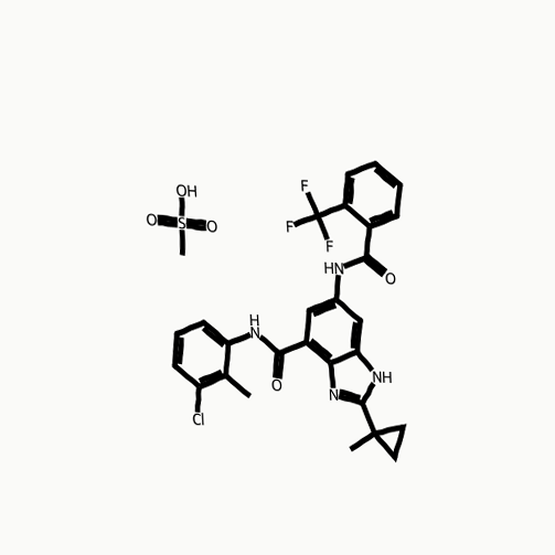 CS(=O)(=O)O.Cc1c(Cl)cccc1NC(=O)c1cc(NC(=O)c2ccccc2C(F)(F)F)cc2[nH]c(C3(C)CC3)nc12